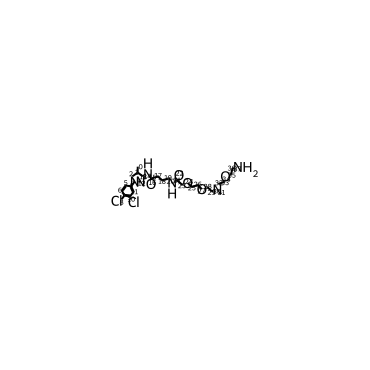 CC1CN(c2ccc(Cl)c(Cl)c2)N=C1NC(=O)CCCNC(=O)COCCOCCN(C)CCOCCN